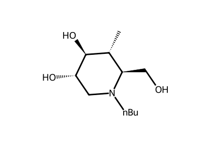 CCCCN1C[C@H](O)[C@@H](O)[C@H](C)[C@H]1CO